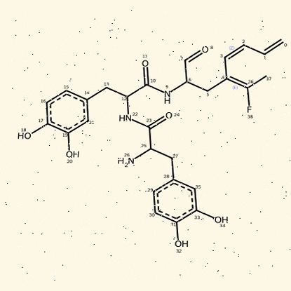 C=C/C=C\C(CC(C=O)NC(=O)C(Cc1ccc(O)c(O)c1)NC(=O)C(N)Cc1ccc(O)c(O)c1)=C(/C)F